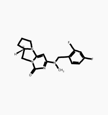 CN(Cc1ccc(F)cc1F)c1cc2n(c(=O)n1)C[C@@H]1CCCN21